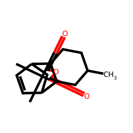 CC1CCC23C(=O)OC(=O)C2(C1)C1C=CC3C1